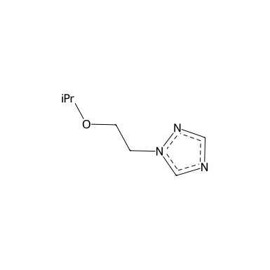 CC(C)OCCn1cncn1